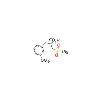 COc1cccc(C[C@H](CS(=O)(=O)C(C)(C)C)C(=O)O)c1